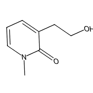 Cn1cccc(CCO)c1=O